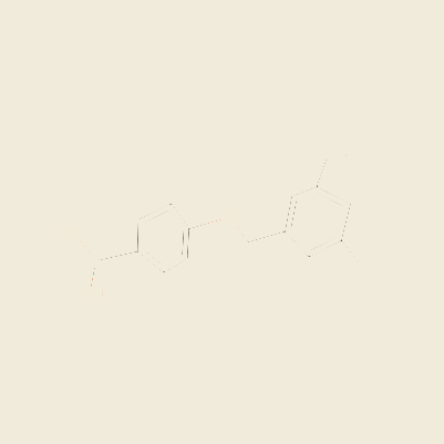 Cc1cc(C)cc(COc2ccc(B(O)O)cc2)c1